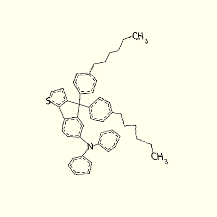 CCCCCCc1ccc(C2(c3ccc(CCCCCC)cc3)c3cc(N(c4ccccc4)c4ccccc4)ccc3-c3sccc32)cc1